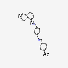 CC(=O)c1ccc(/C=C/c2ccc(/C=N/c3cccc4cnccc34)cc2)cc1